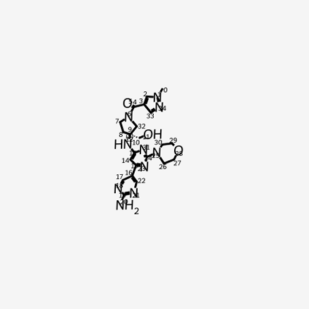 Cn1cc(C(=O)N2CC[C@](CO)(Nc3cc(-c4cnc(N)nc4)nc(N4CCOCC4)n3)C2)cn1